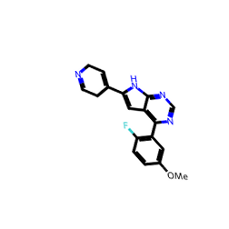 COc1ccc(F)c(-c2ncnc3[nH]c(C4=CCN=CC4)cc23)c1